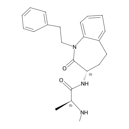 CN[C@@H](C)C(=O)N[C@H]1CCc2ccccc2N(CCc2ccccc2)C1=O